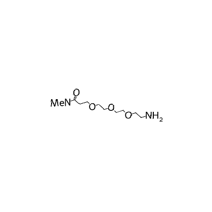 CNC(=O)CCOCCOCCOCCN